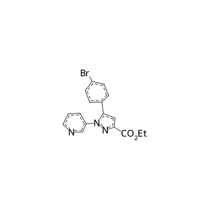 CCOC(=O)c1cc(-c2ccc(Br)cc2)n(-c2cccnc2)n1